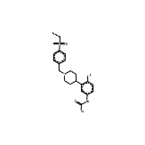 Cc1ccc(NC(=O)C(C)C)cc1C1CCN(Cc2ccc(S(=O)(=O)CC(C)C)cc2)CC1